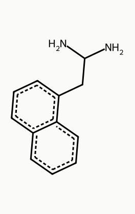 NC(N)Cc1cccc2ccccc12